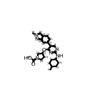 CC1CCC(Nc2ncc(-c3ccc4cn(C)nc4c3)c(OC3CCN(C(=O)O)C3)n2)CC1